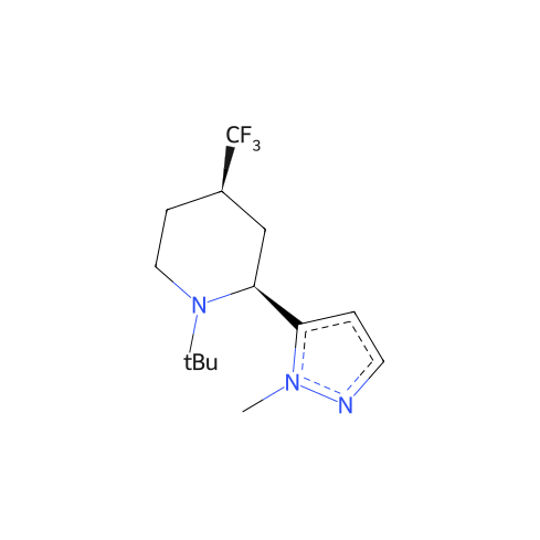 Cn1nccc1[C@@H]1C[C@H](C(F)(F)F)CCN1C(C)(C)C